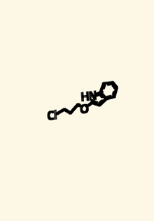 ClCCCOc1cc2ccccc2[nH]1